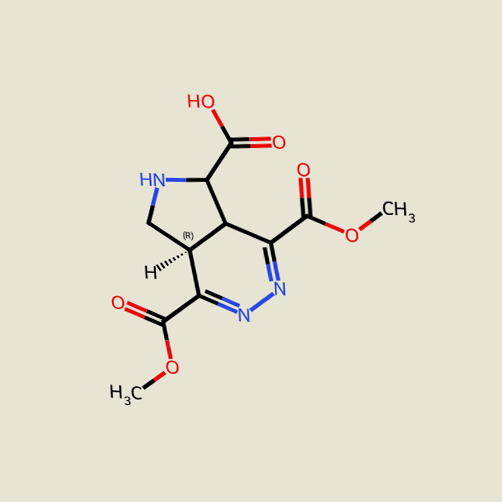 COC(=O)C1=NN=C(C(=O)OC)[C@H]2CNC(C(=O)O)C12